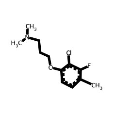 Cc1ccc(OCCCN(C)C)c(Cl)c1F